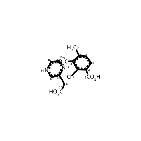 Cc1ccc(C(=O)O)c(Cl)c1C(=O)O.O=C(O)Cc1cnccn1